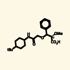 CO[C@H](C(=O)O)C(OCC(=O)NC1CCC(C(C)(C)C)CC1)c1ccccc1